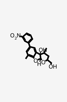 Cc1cc(-c2cccc([N+](=O)[O-])c2)cc2c1O[C@H]1OC(CO)CC(C)[C@@]21O